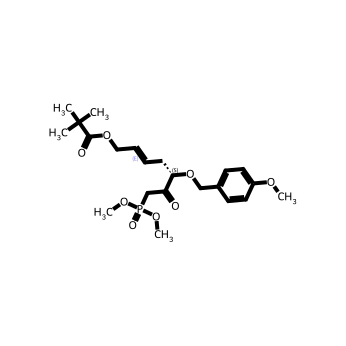 COc1ccc(CO[C@@H](C/C=C/COC(=O)C(C)(C)C)C(=O)CP(=O)(OC)OC)cc1